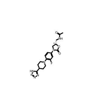 CC(=O)NC[C@H]1CN(c2ccc(N3CCC(c4nnn[nH]4)CC3)c(F)c2)C(=O)O1